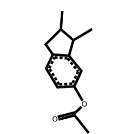 CC(=O)Oc1ccc2c(c1)C(C)C(C)C2